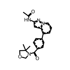 CC(=O)Nc1cc2c(-c3ccc(C(=O)N4COCC4(C)C)cc3)cccn2n1